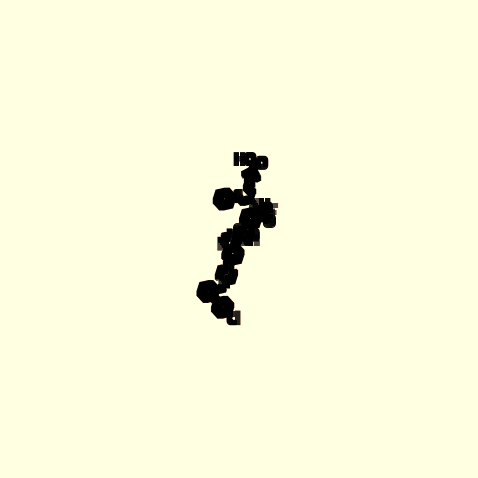 O=C(O)C1CN(CC[C@H](CSc2ccccc2)Nc2ccc(S(=O)(=O)Nc3ncnc4cc(N5CCN(Cc6ccccc6-c6ccc(Cl)cc6)CC5)ccc34)cc2[N+](=O)[O-])C1